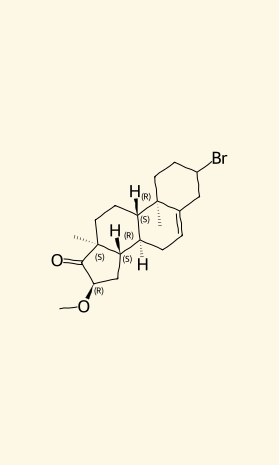 CO[C@@H]1C[C@H]2[C@@H]3CC=C4CC(Br)CC[C@]4(C)[C@H]3CC[C@]2(C)C1=O